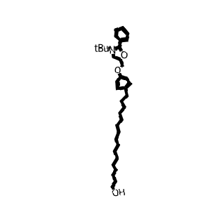 CC(C)(C)N1CC(COc2ccc(CCCCCCCCCCCCCCCCO)cc2)OC1c1ccccc1